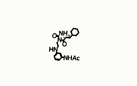 CC(=O)Nc1cccc(NCCN(C(N)=O)C(=O)[CH]CC2CCCCC2)c1